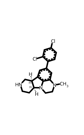 CN1CCN2c3c(cc(-c4ccc(Cl)cc4Cl)cc31)[C@@H]1CNCC[C@@H]12